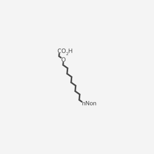 CCCCCCCCCCCCCCCCCCOCC(=O)O